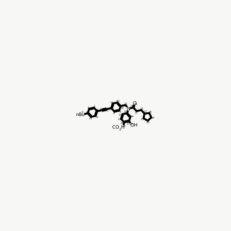 CCCCc1ccc(C#Cc2ccc(CN(C(=O)CCC3CCCC3)c3ccc(C(=O)O)c(O)c3)cc2)cc1